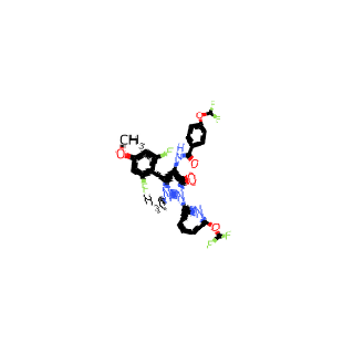 COc1cc(F)c(-c2c(NC(=O)c3ccc(OC(F)F)cc3)c(=O)n(-c3cccc(OC(F)F)n3)n2C)c(F)c1